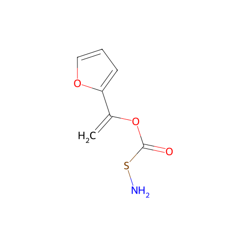 C=C(OC(=O)SN)c1ccco1